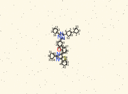 c1ccc(-c2ccc(-c3nc(-c4ccccc4)nc(-c4ccc5oc6c(-c7nc(-c8ccccc8)nc8c7sc7ccccc78)cccc6c5c4)n3)cc2)cc1